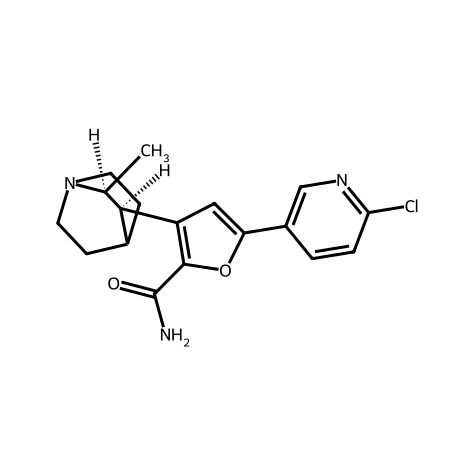 C[C@H]1[C@@H](c2cc(-c3ccc(Cl)nc3)oc2C(N)=O)C2CCN1CC2